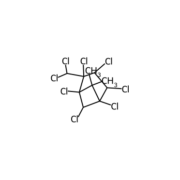 CC1(C)C2(Cl)C(Cl)C(Cl)C(Cl)(C(Cl)Cl)C1(Cl)C2Cl